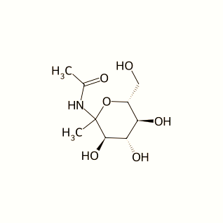 CC(=O)NC1(C)O[C@H](CO)[C@@H](O)[C@H](O)[C@H]1O